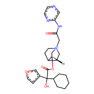 O=C(C[N+]12CCC(CC1)[C@@H](OC(=O)C(O)(c1ccoc1)C1CCCCC1)C2)Nc1cnccn1